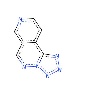 c1cc2c(cn1)cnn1nnnc21